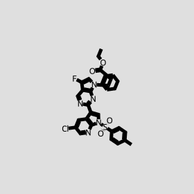 CCOC(=O)C1C2C=CC(CC2)C1n1cc(F)c2cnc(-c3cn(S(=O)(=O)c4ccc(C)cc4)c4ncc(Cl)cc34)nc21